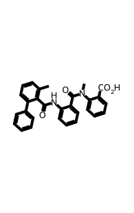 Cc1cccc(-c2ccccc2)c1C(=O)Nc1ccccc1C(=O)N(C)c1ccccc1C(=O)O